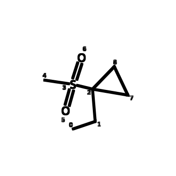 CCC1(S(C)(=O)=O)CC1